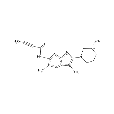 CC#CC(=O)Nc1cc2nc(N3CCC[C@@H](C)C3)n(C)c2cc1C